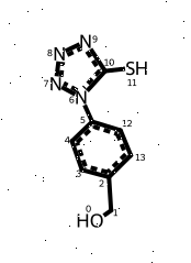 OCc1ccc(-n2nnnc2S)cc1